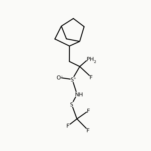 [O-][S+](NSC(F)(F)F)C(F)(P)CC1CC2CCC1C2